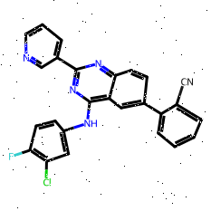 N#Cc1ccccc1-c1ccc2nc(-c3cccnc3)nc(Nc3ccc(F)c(Cl)c3)c2c1